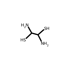 NC(S)C(N)S